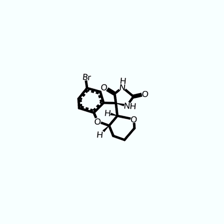 O=C1NC(=O)[C@@]2(N1)c1cc(Br)ccc1O[C@H]1CCCO[C@H]12